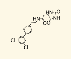 O=C(CC1NC(=O)NC1=O)NCCc1ccc(-c2cc(Cl)cc(Cl)c2)cc1